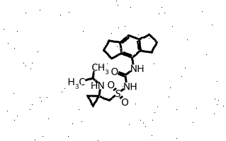 CC(C)NC1(CS(=O)(=O)NC(=O)Nc2c3c(cc4c2CCC4)CCC3)CC1